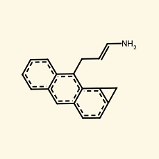 NC=CCc1c2ccccc2cc2ccc3c(c12)C3